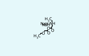 CCNCC(=O)OC(=O)COCC.[NaH].[NaH]